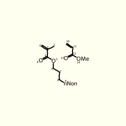 C=C(C)C(=O)OCCCCCCCCCCCC.C=CC(=O)OC